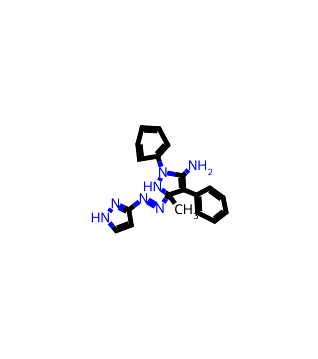 CC1(N=Nc2cc[nH]n2)NN(c2ccccc2)C(N)=C1c1ccccc1